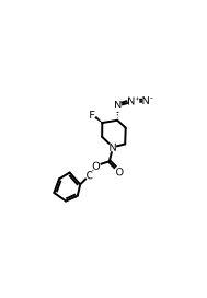 [N-]=[N+]=N[C@@H]1CCN(C(=O)OCc2ccccc2)C[C@H]1F